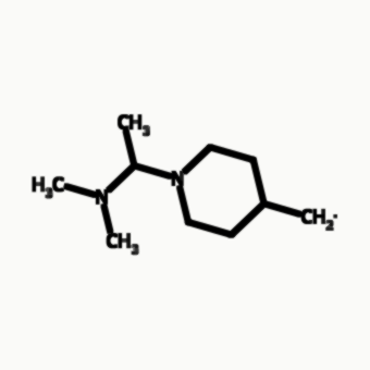 [CH2]C1CCN(C(C)N(C)C)CC1